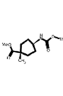 COC(=O)[C@]1(C)CC[C@@H](NC(=O)OC(C)(C)C)CC1